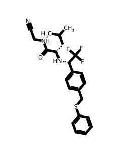 CC(C)C[C@H](N[C@@H](c1ccc(CSc2ccccc2)cc1)C(F)(F)F)C(=O)NCC#N